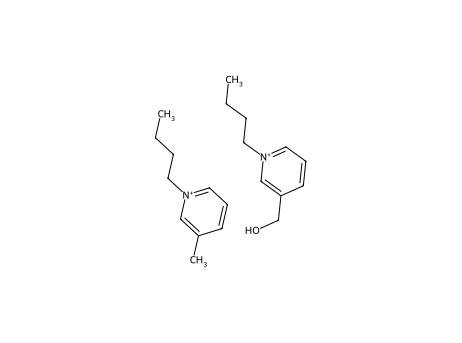 CCCC[n+]1cccc(C)c1.CCCC[n+]1cccc(CO)c1